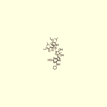 CCOC(=O)[C@H](CC(C)C)NP(=O)(N[C@@H](CC(C)C)C(=O)OCC)OC[C@H]1O[C@@H](n2cnc3c(NC4CCCC4)nc(O)nc32)C(C)(O)C1O